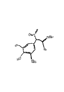 C=[N+]([O-])C(c1cc(C(C)(C)C)c(O)c(C(C)(C)C)c1)C(Br)CCCC